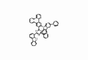 c1ccc(-c2ccc3c(c2)c2ccccc2n3-c2cc3c4ccccc4c4ccccc4c3cc2-c2nc(-c3ccccc3)nc(-c3cccc4c3oc3ccccc34)n2)cc1